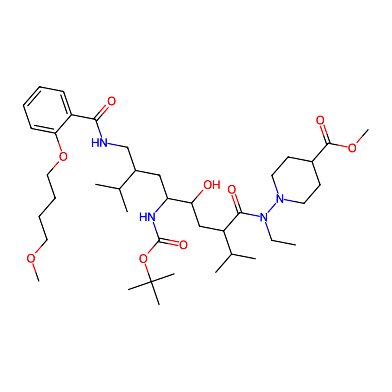 CCN(C(=O)C(CC(O)C(CC(CNC(=O)c1ccccc1OCCCCOC)C(C)C)NC(=O)OC(C)(C)C)C(C)C)N1CCC(C(=O)OC)CC1